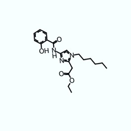 CCCCCCn1cc(NC(=O)c2ccccc2O)nc1CC(=O)OCC